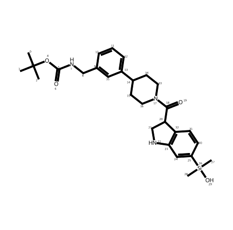 CC(C)(C)OC(=O)NCc1cccc(C2CCN(C(=O)C3CNc4cc([Si](C)(C)O)ccc43)CC2)c1